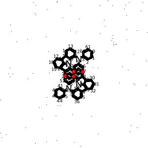 c1ccc(N(c2ccccc2)c2cccc3c4cccc5c6ccc7c(ccc8c9cccc%10c%11cccc(N(c%12ccccc%12)c%12ccccc%12)c%11n(c%109)c87)c6n(c23)c45)cc1